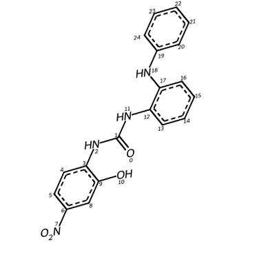 O=C(Nc1ccc([N+](=O)[O-])cc1O)Nc1ccccc1Nc1ccccc1